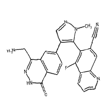 Cn1ncc(-c2ccc3c(=O)[nH]nc(CN)c3c2)c1-c1c(C#N)cc2ncccc2c1F